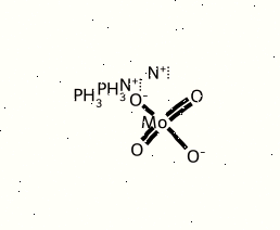 P.P.[N+].[N+].[O]=[Mo](=[O])([O-])[O-]